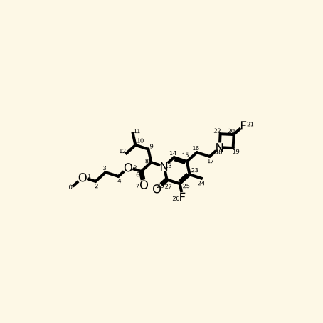 COCCCOC(=O)C(CC(C)C)n1cc(CCN2CC(F)C2)c(C)c(F)c1=O